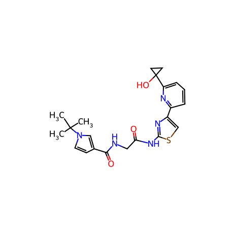 CC(C)(C)n1ccc(C(=O)NCC(=O)Nc2nc(-c3cccc(C4(O)CC4)n3)cs2)c1